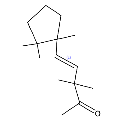 CC(=O)C(C)(C)/C=C/C1(C)CCCC1(C)C